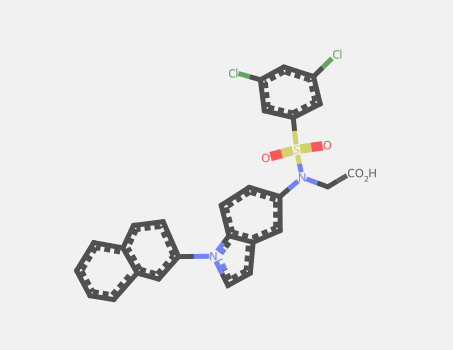 O=C(O)CN(c1ccc2c(ccn2-c2ccc3ccccc3c2)c1)S(=O)(=O)c1cc(Cl)cc(Cl)c1